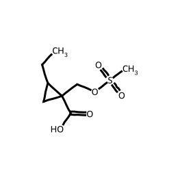 CCC1CC1(COS(C)(=O)=O)C(=O)O